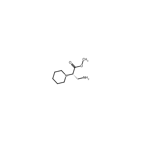 COC(=O)[C@H](CN)N1CCCCC1